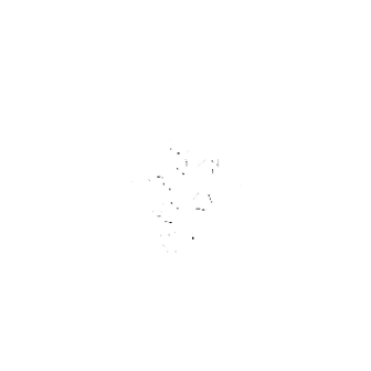 COC[C@H](NC(=O)c1cnc(C)s1)C(=O)N[C@@H](COC)C(=O)N[C@@H](Cc1ccccc1)C(=O)C(C)(CI)OC(=O)CCl